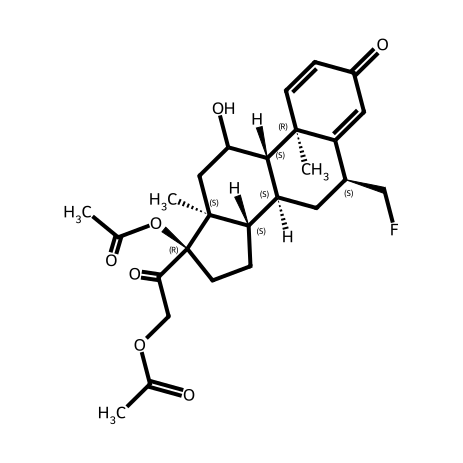 CC(=O)OCC(=O)[C@@]1(OC(C)=O)CC[C@H]2[C@@H]3C[C@H](CF)C4=CC(=O)C=C[C@]4(C)[C@H]3C(O)C[C@@]21C